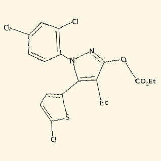 CCOC(=O)Oc1nn(-c2ccc(Cl)cc2Cl)c(-c2ccc(Cl)s2)c1CC